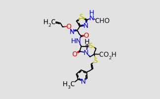 C=CCON=C(C(=O)NC1C(=O)N2CC(SC=Cc3ccc(C)nc3)(C(=O)O)CS[C@H]12)c1csc(NC=O)n1